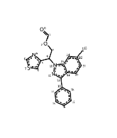 O=COCC(c1cscn1)n1nc(-c2ccccc2)c2ccc(I)cc21